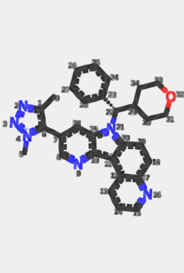 Cc1nnn(C)c1-c1cnc2c3c4cccnc4ccc3n([C@H](c3ccccc3)C3CCOCC3)c2c1